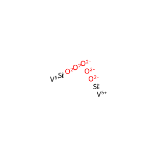 [O-2].[O-2].[O-2].[O-2].[O-2].[Si].[Si].[V+5].[V+5]